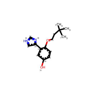 CC(C)(C)CCOc1ccc(O)cc1-c1c[nH]cn1